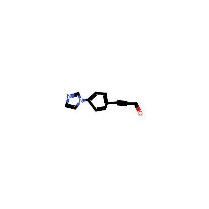 O=CC#Cc1ccc(-n2ccnc2)cc1